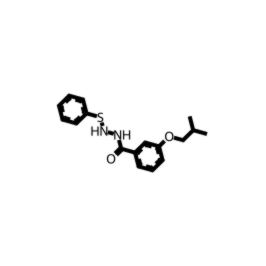 CC(C)COc1cccc(C(=O)NNSc2ccccc2)c1